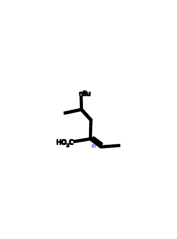 C/C=C(\CC(C)CCCC)C(=O)O